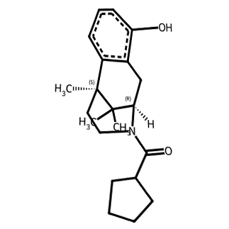 CC1(C)[C@H]2Cc3c(O)cccc3[C@]1(C)CCN2C(=O)C1CCCC1